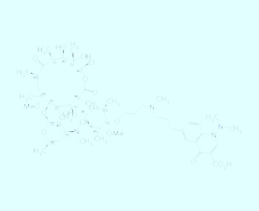 CC[C@H]1OC(=O)[C@H](C)[C@@H](O[C@H]2C[C@@](C)(OC)[C@@H](OCCCN(C)CCCc3ccc4c(c3)c(=O)c(C(=O)O)cn4N(C)C)[C@H](C)O2)[C@H](C)[C@@H](O[C@@H]2O[C@H](C)C[C@H](N(C)C)[C@H]2O)[C@](C)(OC)C[C@@H](C)C(=O)[C@@H](C)[C@@H](O)[C@]1(C)O